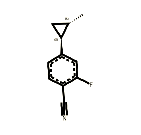 C[C@H]1C[C@@H]1c1ccc(C#N)c(F)c1